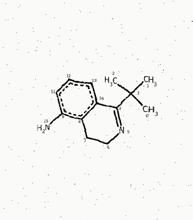 CC(C)(C)C1=NCCc2c(N)cccc21